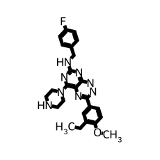 CCc1cc(-c2nnc3nc(NCc4ccc(F)cc4)nc(N4CCNCC4)c3n2)ccc1OC